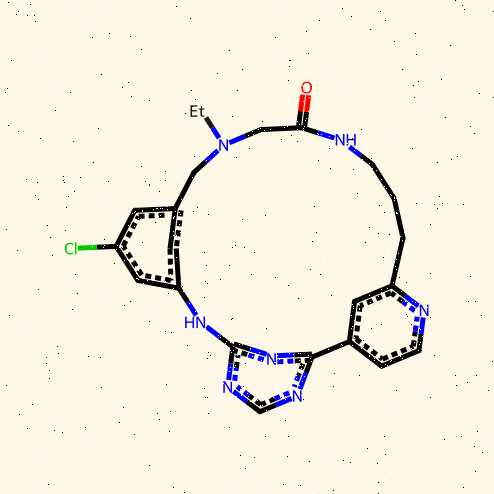 CCN1CC(=O)NCCCc2cc(ccn2)-c2ncnc(n2)Nc2cc(Cl)cc(c2)C1